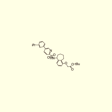 CC(C)c1cccc(-c2ccc(S(=O)(=O)NC3CCCCc4c(OCC(=O)OC(C)(C)C)cccc43)nc2)c1